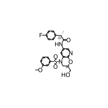 COc1cccc(S(=O)(=O)N2C[C@H](CO)Oc3ncc(NC(=O)[C@@H](C)c4ccc(F)cc4)cc32)c1